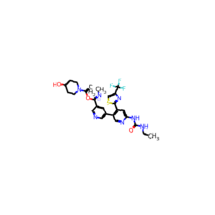 C=C(O/C(=N\C)c1cncc(-c2cnc(NC(=O)NCC)cc2-c2nc(C(F)(F)F)cs2)c1)N1CCC(O)CC1